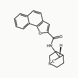 O=C(N[C@H]1CN2CCC1CC2)c1cc2ccc3ccccc3c2o1